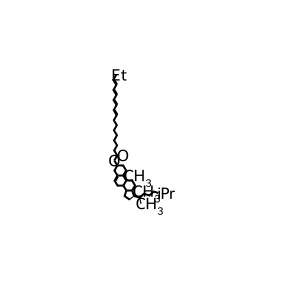 CCC=CC=CC=CC=CCCCCCCCC(=O)OC1CC[C@@]2(C)C(=CCC3C2CC[C@@]2(C)C3CC[C@@H]2[C@H](C)CCCC(C)C)C1